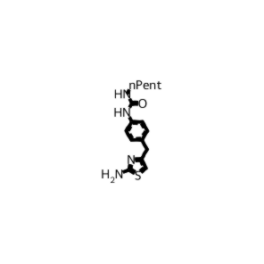 CCCCCNC(=O)Nc1ccc(Cc2csc(N)n2)cc1